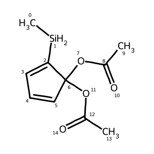 C[SiH2]C1=CC=CC1(OC(C)=O)OC(C)=O